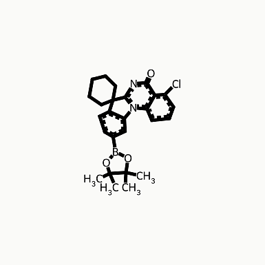 CC1(C)OB(c2ccc3c(c2)-n2c(nc(=O)c4c(Cl)cccc42)C32CCCCC2)OC1(C)C